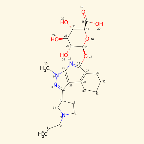 CCCN1CCC(c2nn(C)c3nc(O[C@@H]4O[C@H](C(=O)O)[C@@H](O)[C@H](O)[C@H]4O)c4c(c23)CCCC4)C1